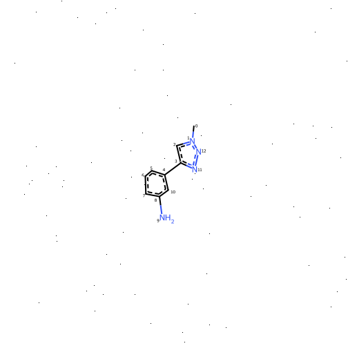 Cn1cc(-c2cccc(N)c2)nn1